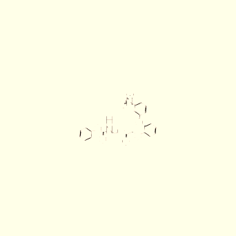 O=C(COc1ccccc1Oc1cccc([N+](=O)[O-])c1)OCNC(=O)Oc1ccccc1